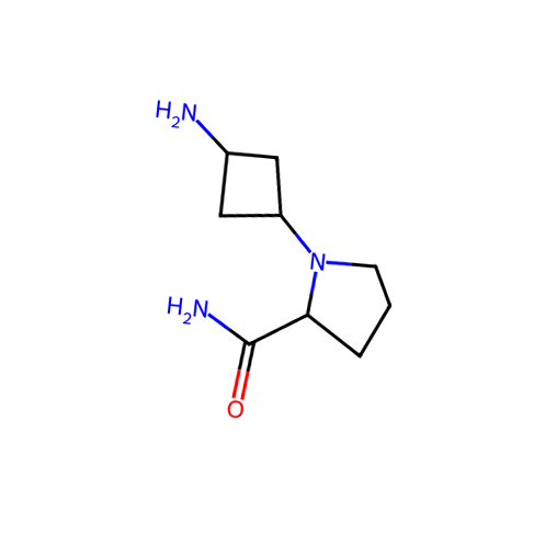 NC(=O)C1CCCN1C1CC(N)C1